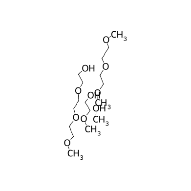 CO.COCCO.COCCOCCOC.COCCOCCOCCO